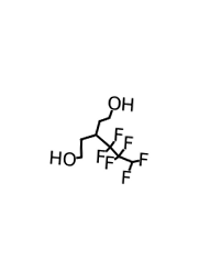 OCCC(CCO)C(F)(F)C(F)(F)C(F)F